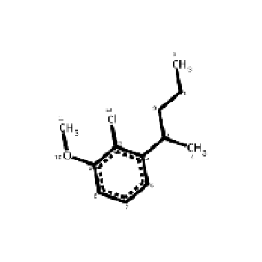 CCCC(C)c1cccc(OC)c1Cl